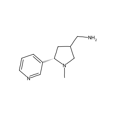 CN1CC(CN)C[C@H]1c1cccnc1